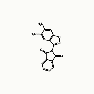 Nc1cc2onc(N3C(=O)c4ccccc4C3=O)c2cc1N